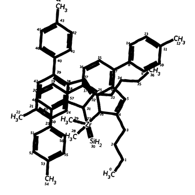 CCCCC1=Cc2c(-c3ccc(C)cc3)ccc(-c3ccc(C)cc3)c2[CH]1[Zr]([CH3])([CH3])(=[SiH2])[CH]1C(CCCC)=Cc2c(-c3ccc(C)cc3)ccc(-c3ccc(C)cc3)c21